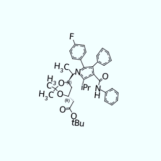 CC(C)c1c(C(=O)Nc2ccccc2)c(-c2ccccc2)c(-c2ccc(F)cc2)n1C(C)[C@H]1C[C@H](CC(=O)OC(C)(C)C)OC(C)(C)O1